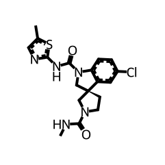 CNC(=O)N1CC[C@@]2(C1)CN(C(=O)Nc1ncc(C)s1)c1ccc(Cl)cc12